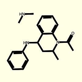 CC(=O)N1c2ccccc2C(Nc2ccccc2)CC1C.CNC